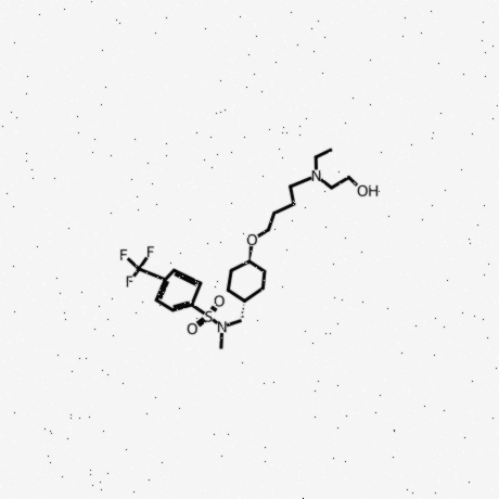 CCN(CCO)CCCCO[C@H]1CC[C@H](CN(C)S(=O)(=O)c2ccc(C(F)(F)F)cc2)CC1